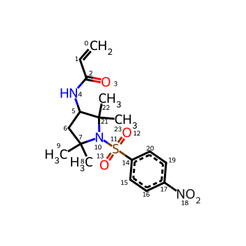 C=CC(=O)NC1CC(C)(C)N(S(=O)(=O)c2ccc([N+](=O)[O-])cc2)C1(C)C